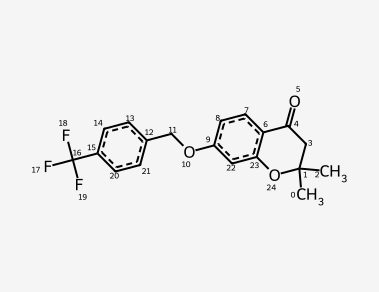 CC1(C)CC(=O)c2ccc(OCc3ccc(C(F)(F)F)cc3)cc2O1